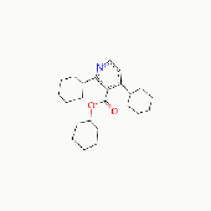 O=C(OC1CCCCC1)c1c(C2CCCCC2)ccnc1C1CCCCC1